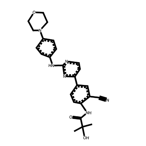 CC(C)(O)C(=O)Nc1ccc(-c2ccnc(Nc3ccc(N4CCOCC4)cc3)n2)cc1C#N